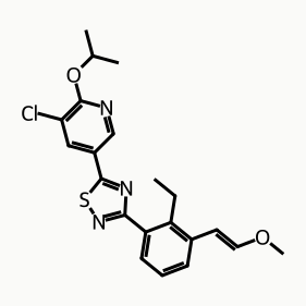 CCc1c(C=COC)cccc1-c1nsc(-c2cnc(OC(C)C)c(Cl)c2)n1